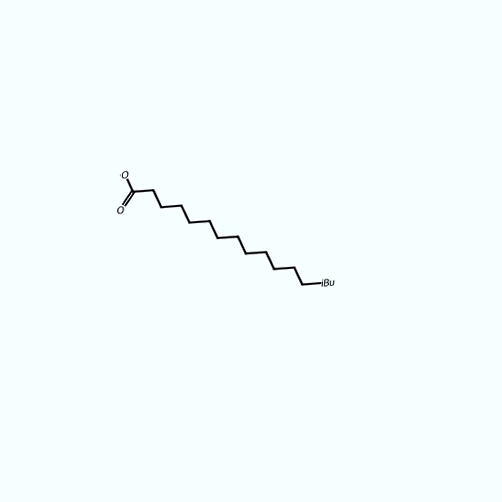 CCC(C)CCCCCCCCCCCCC([O])=O